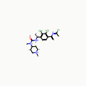 C=C(/N=C(\C)F)c1ccc([C@H](C)NC(=O)N(C)C2CCN(C)CC2)c(Cl)c1Cl